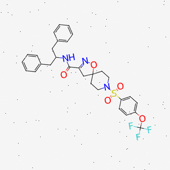 O=C(NC(Cc1ccccc1)Cc1ccccc1)C1=NOC2(CCN(S(=O)(=O)c3ccc(OC(F)(F)F)cc3)CC2)C1